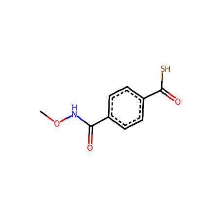 CONC(=O)c1ccc(C(=O)S)cc1